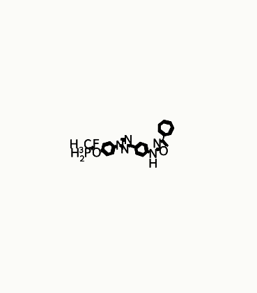 CC(F)(P)Oc1ccc(-n2cnc(-c3ccc(NC4=N[C@@H](C5=CCC=CC=C5)CO4)cc3)n2)cc1